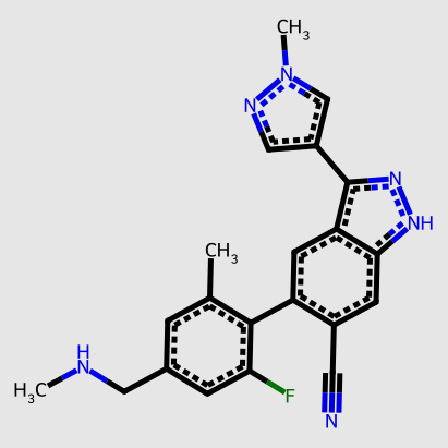 CNCc1cc(C)c(-c2cc3c(-c4cnn(C)c4)n[nH]c3cc2C#N)c(F)c1